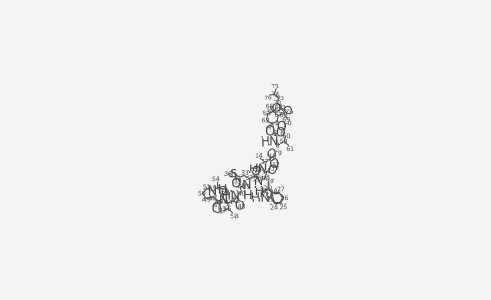 CO[C@@H]1[C@H](OC(=O)N[C@@H](COC(=O)[C@H](C)NC(=O)[C@H](Cc2c[nH]c3ccccc23)NC(=O)[C@H](CCSC)NC(=O)CNC(=O)C(NC(=O)C2CCCN2C(C)=O)C(C)C)C(C)C)CC[C@]2(CO2)[C@H]1[C@@]1(C)O[C@@H]1CC=C(C)C